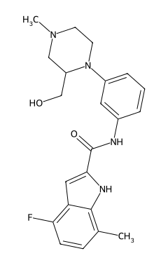 Cc1ccc(F)c2cc(C(=O)Nc3cccc(N4CCN(C)CC4CO)c3)[nH]c12